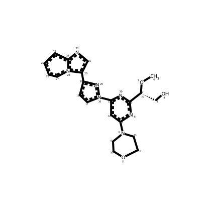 CO[C@H](CO)c1nc(N2CCOCC2)cc(-n2ccc(-c3cnc4ccccn34)n2)n1